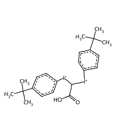 CC(C)(C)c1ccc([I+]C([I+]c2ccc(C(C)(C)C)cc2)C(=O)O)cc1